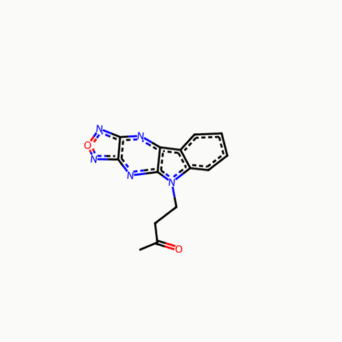 CC(=O)CCn1c2ccccc2c2nc3nonc3nc21